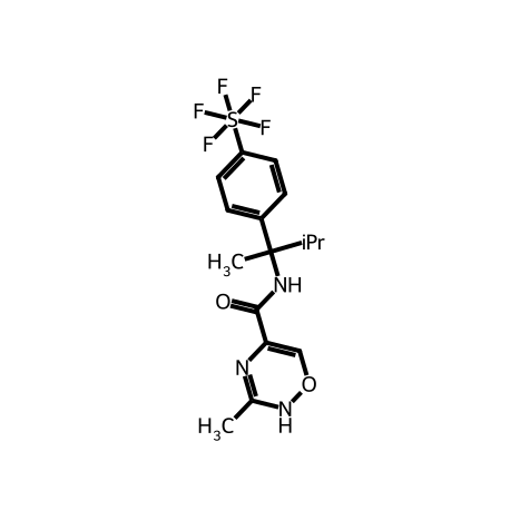 CC1=NC(C(=O)NC(C)(c2ccc(S(F)(F)(F)(F)F)cc2)C(C)C)=CON1